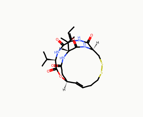 C/C=C1\NC(=O)[C@H]2CSSCC/C=C/[C@H](CC(=O)N[C@H](C(C)C)C(=O)N2)OC(=O)[C@@H](C(C)C)NC1=O